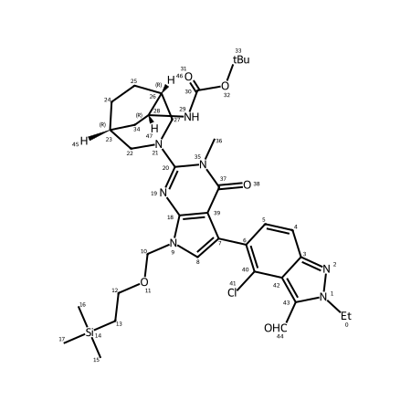 CCn1nc2ccc(-c3cn(COCC[Si](C)(C)C)c4nc(N5C[C@@H]6CC[C@H](C5)[C@H](NC(=O)OC(C)(C)C)C6)n(C)c(=O)c34)c(Cl)c2c1C=O